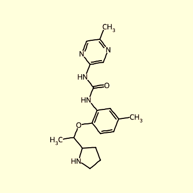 Cc1ccc(OC(C)C2CCCN2)c(NC(=O)Nc2cnc(C)cn2)c1